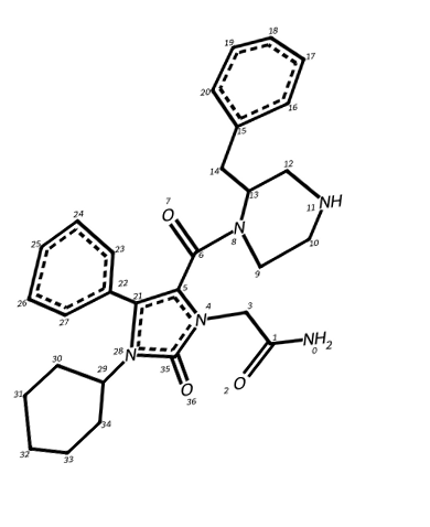 NC(=O)Cn1c(C(=O)N2CCNCC2Cc2ccccc2)c(-c2ccccc2)n(C2CCCCC2)c1=O